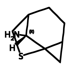 N[C@@H]1C2CCC3CC31SC2